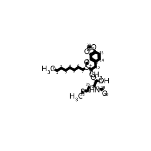 CCCCCCCC[S+]([O-])C(C)Cc1ccc2c(c1)OCO2.CSCC[C@@H](NC=O)C(=O)O